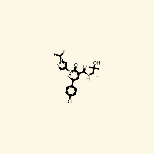 C[C@H](NC(=O)c1cc(-c2ccc(Cl)cc2)nn(-c2cnn(C(F)F)c2)c1=O)C(C)(C)O